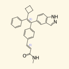 CNC(=O)/C=C/c1ccc(/C(=C(\c2ccccc2)C2CCC2)c2ccc3[nH]ncc3c2)cc1